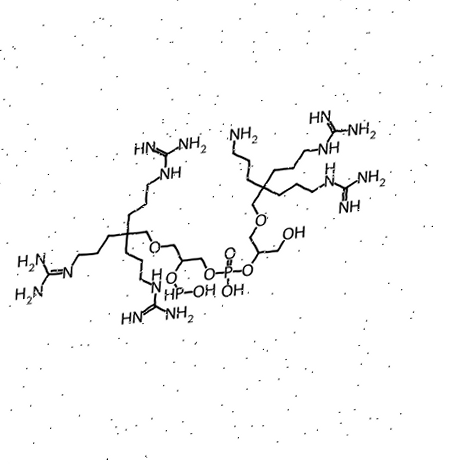 N=C(N)NCCCC(CCCN=C(N)N)(CCCNC(=N)N)COCC(COP(=O)(O)OC(CO)COCC(CCCN)(CCCNC(=N)N)CCCNC(=N)N)OPO